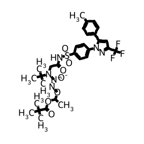 Cc1ccc(-c2cc(C(F)(F)F)nn2-c2ccc(S(=O)(=O)NC(=O)CN([N+]([O-])=NOC(C)OC(=O)C(C)(C)C)C(C)(C)C)cc2)cc1